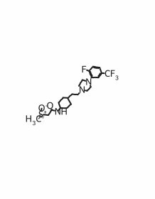 C[S@+]([O-])CC(=O)NC1CCC(CCN2CCN(c3cc(C(F)(F)F)ccc3F)CC2)CC1